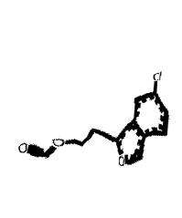 O=[C]OCCc1occ2ccc(Cl)cc12